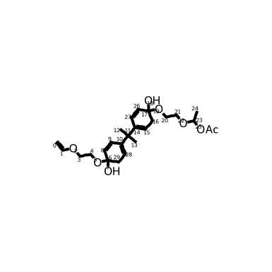 C=COCCOC1(O)C=CC(C(C)(C)C2=CCC(O)(OCCOC(C)OC(C)=O)C=C2)=CC1